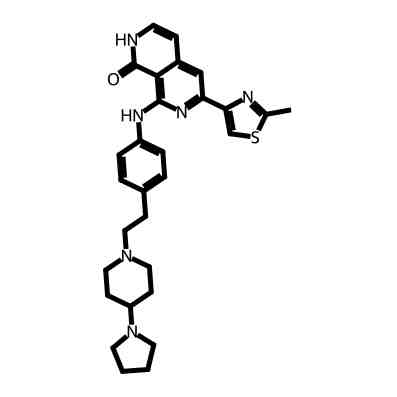 Cc1nc(-c2cc3cc[nH]c(=O)c3c(Nc3ccc(CCN4CCC(N5CCCC5)CC4)cc3)n2)cs1